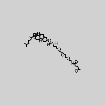 CC(=O)CCC(=O)NCCOCCOCCOCCCNC(=O)OC1CC[C@@]2(C)C(=CC[C@H]3[C@@H]4CC[C@H]([C@H](C)CCCC(C)C)[C@@]4(C)CC[C@@H]32)C1